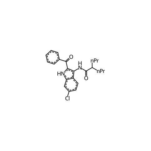 CCCC(CCC)C(=O)Nc1c(C(=O)c2ccccc2)[nH]c2cc(Cl)ccc12